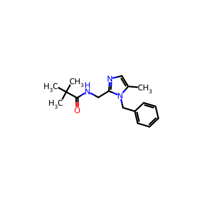 Cc1cnc(CNC(=O)C(C)(C)C)n1Cc1ccccc1